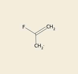 [CH2]C(=C)F